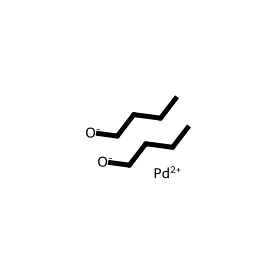 CCCC[O-].CCCC[O-].[Pd+2]